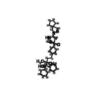 CCN/C(=N\S(=O)(=O)c1ccc(CCC(C)(C)[Si](O)(c2ccccc2)c2ccccc2)cc1)N1CC2(C=N1)CCCC2